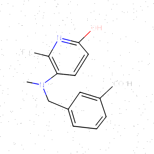 CN(Cc1cccc(C(=O)O)c1)c1ccc(O)nc1C(F)(F)F